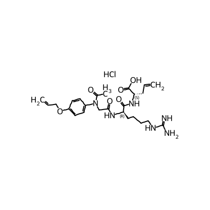 C=CCOc1ccc(N(CC(=O)N[C@H](CCCCNC(=N)N)C(=O)N[C@@H](CC=C)C(=O)O)C(C)=O)cc1.Cl